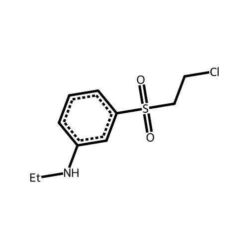 CCNc1cccc(S(=O)(=O)CCCl)c1